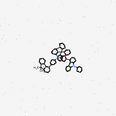 CC1(C)c2ccccc2-c2c(-c3ccc(N(c4ccc(-c5cccc6c5c5ccccc5n6-c5ccccc5)cc4)c4cccc5c4C4(c6ccccc6-c6ccccc64)c4ccccc4-5)cc3)cccc21